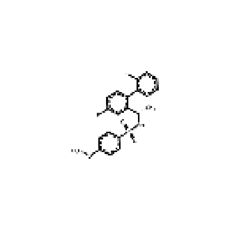 COc1ccc(S(=O)(=O)N[C@@H](C)c2cc(F)ccc2-c2ccccc2F)cc1